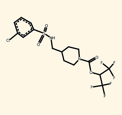 O=C(OC(C(F)(F)F)C(F)(F)F)N1CCC(CNS(=O)(=O)c2cccc(Cl)c2)CC1